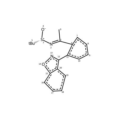 CC(=N[S@@+]([O-])C(C)(C)C)c1ccccc1-c1noc2ccccc12